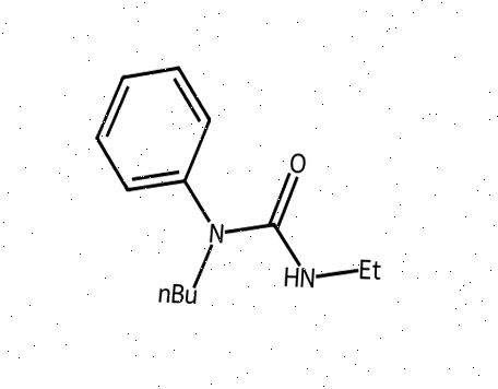 CCCCN(C(=O)NCC)c1ccccc1